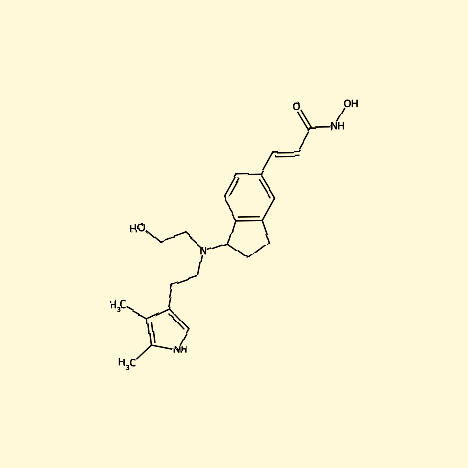 Cc1[nH]cc(CCN(CCO)C2CCc3cc(C=CC(=O)NO)ccc32)c1C